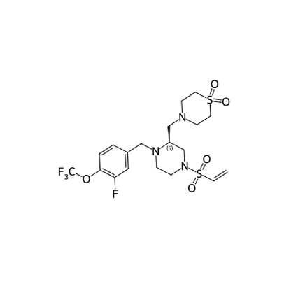 C=CS(=O)(=O)N1CCN(Cc2ccc(OC(F)(F)F)c(F)c2)[C@@H](CN2CCS(=O)(=O)CC2)C1